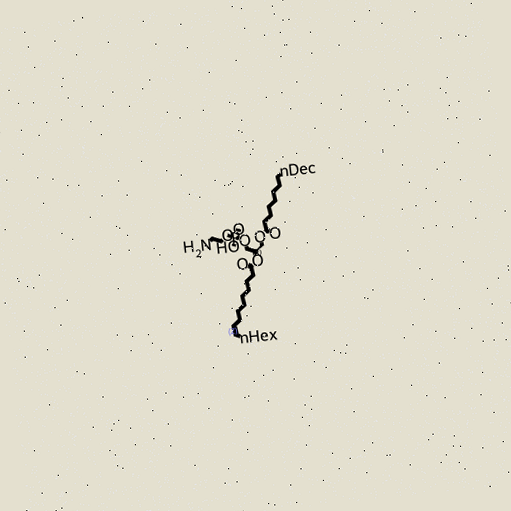 CCCCCC/C=C\CCCCCCCC(=O)O[C@H](COC(=O)CCCCCCCCCCCCCCCCC)COP(=O)(O)OCCN